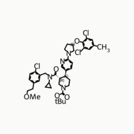 COCCc1ccc(Cl)c(CN(C(=O)[C@H]2CN(C(=O)OC(C)(C)C)CC[C@@H]2c2ccc(N3CC[C@H](Oc4c(Cl)cc(C)cc4Cl)C3)nc2)C2CC2)c1